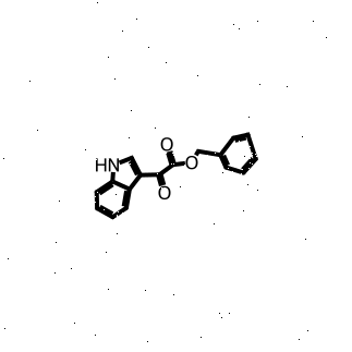 O=C(OCc1ccccc1)C(=O)c1c[nH]c2ccccc12